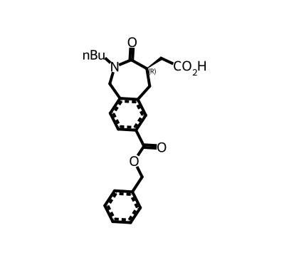 CCCCN1Cc2ccc(C(=O)OCc3ccccc3)cc2C[C@H](CC(=O)O)C1=O